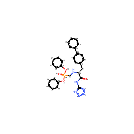 O=C(Nc1nnn[nH]1)[C@H](Cc1ccc(-c2ccccc2)cc1)NCP(=O)(Oc1ccccc1)Oc1ccccc1